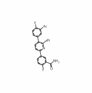 CC(=O)c1cc(-c2ccc(-c3ccc(F)c(C(N)=O)c3)nc2C(C)C)ccc1F